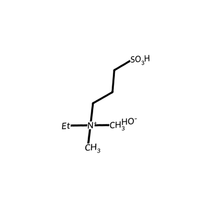 CC[N+](C)(C)CCCS(=O)(=O)O.[OH-]